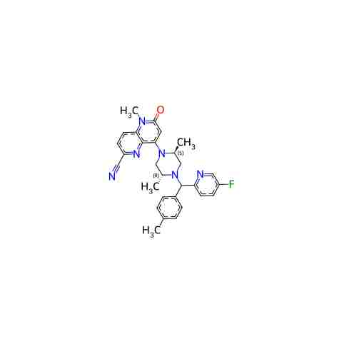 Cc1ccc(C(c2ccc(F)cn2)N2C[C@H](C)N(c3cc(=O)n(C)c4ccc(C#N)nc34)C[C@H]2C)cc1